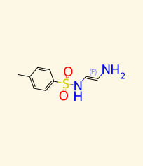 Cc1ccc(S(=O)(=O)N/C=C/N)cc1